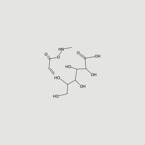 C=CC(=O)ONC.O=C(O)C(O)C(O)C(O)C(O)CO